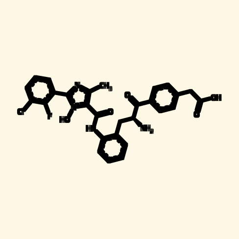 Cc1nc(-c2cccc(Cl)c2F)n(O)c1C(=O)Nc1ccccc1C[C@H](N)C(=O)c1ccc(CC(=O)O)cc1